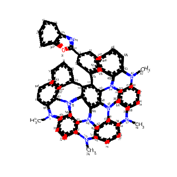 CN1c2ccccc2N(c2c(-c3ccccc3)c(-c3cccc(-c4nc5ccccc5o4)c3)c(N3c4ccccc4N(C)c4ccccc43)c(N3c4ccccc4N(C)c4ccccc43)c2N2c3ccccc3N(C)c3ccccc32)c2ccccc21